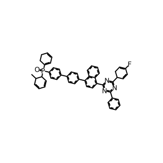 CC1C=CC=CC1P(=O)(C1=CC=CCC1)c1ccc(-c2ccc(-c3ccc(-c4nc(-c5ccccc5)nc(C5C=CC(F)=CC5)n4)c4ccccc34)cc2)cc1